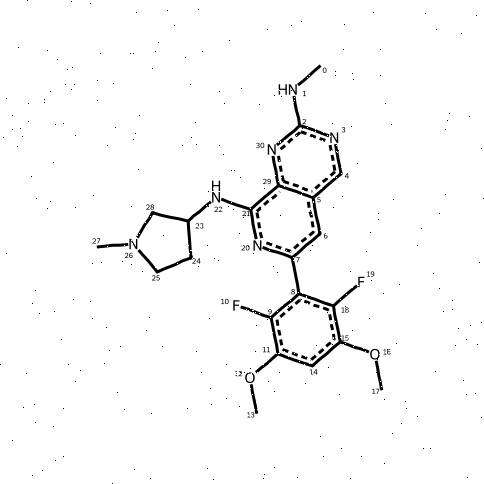 CNc1ncc2cc(-c3c(F)c(OC)cc(OC)c3F)nc(NC3CCN(C)C3)c2n1